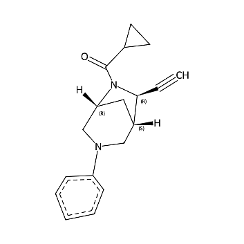 C#C[C@H]1[C@H]2C[C@H](CN(c3ccccc3)C2)N1C(=O)C1CC1